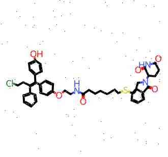 O=C(CCCCCCSc1cccc2c1CN(C1CCC(=O)NC1=O)C2=O)NCCOc1ccc(C(=C(CCCl)c2ccccc2)c2ccc(O)cc2)cc1